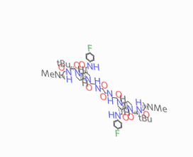 CN[C@@H](C)C(=O)N[C@H](C(=O)N1CC[C@@H]2[C@H]1[C@@H](C(=O)Nc1ccc(F)cc1)CN2C(=O)CNC(=O)C(=O)NCC(=O)N1C[C@H](C(=O)Nc2ccc(F)cc2)[C@@H]2[C@H]1CCN2C(=O)[C@@H](NC(=O)[C@H](C)NC)C(C)(C)C)C(C)(C)C